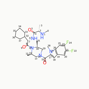 CN[C@@H](C)C(=O)N[C@H](C(=O)N1[C@H](C)CN(C(=O)c2cc3cc(F)c(F)cc3n2C)C[C@@H]1C)C1CCCCC1